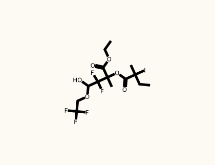 CCOC(=O)C(C)(OC(=O)C(C)(I)CC)C(F)(F)C(O)OCC(F)(F)F